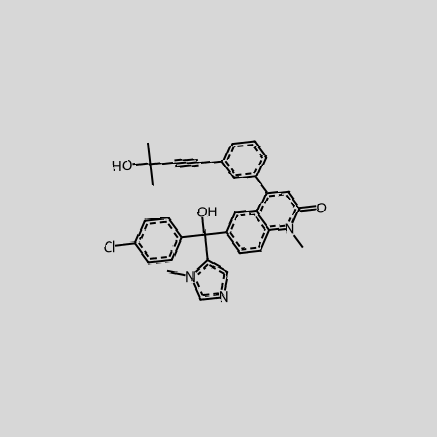 Cn1cncc1C(O)(c1ccc(Cl)cc1)c1ccc2c(c1)c(-c1cccc(C#CC(C)(C)O)c1)cc(=O)n2C